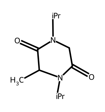 CC(C)N1CC(=O)N(C(C)C)C(C)C1=O